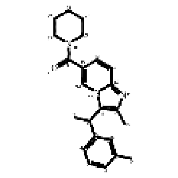 Cc1cccc(C(C)c2c(C)nc3ccc(C(=O)N4CCCCC4)cn23)c1